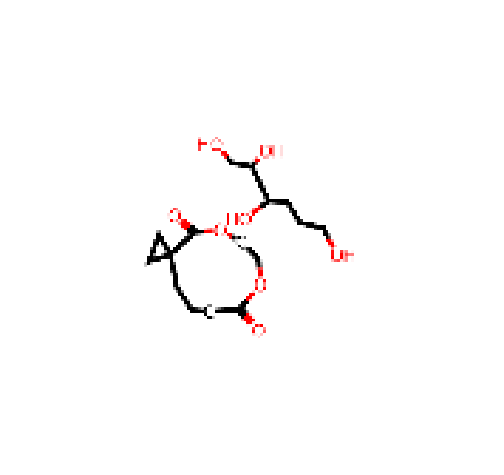 O=C1CCCC2(CC2)C(=O)OCCO1.OCCCC(O)C(O)CO